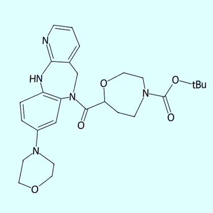 CC(C)(C)OC(=O)N1CCOC(C(=O)N2Cc3cccnc3Nc3ccc(N4CCOCC4)cc32)CC1